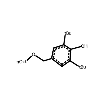 CCCCCCCCOCc1cc(C(C)(C)C)c(O)c(C(C)(C)C)c1